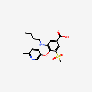 CCCCNc1cc(C(=O)O)cc(S(C)(=O)=O)c1Oc1ccc(C)nc1